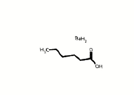 CCCCCC(=O)O.[BaH2]